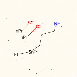 CCC[O-].CCC[O-].C[CH2][Sn+2][CH2]CCN